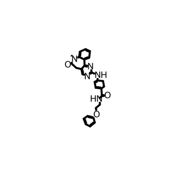 CN1C(=O)Cc2cnc(NC3=CC=C(C(=O)NCCOc4ccccc4)CC3)nc2-c2ccccc21